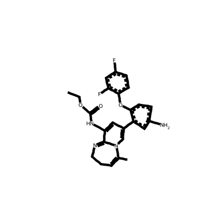 CCOC(=O)NC1=CC(c2cc(N)ccc2Oc2ccc(F)cc2F)=CN2C(C)=CCCN=C12